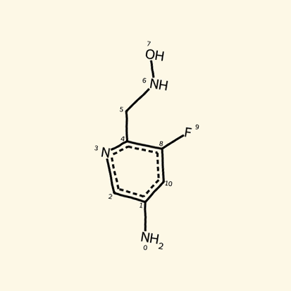 Nc1cnc(CNO)c(F)c1